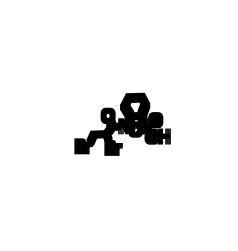 O=C(Nc1ccccc1S(=O)(=O)O)C(Br)CBr